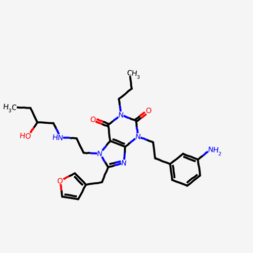 CCCn1c(=O)c2c(nc(Cc3ccoc3)n2CCNCC(O)CC)n(CCc2cccc(N)c2)c1=O